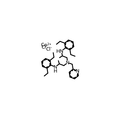 CCc1cccc(CC)c1NC(C)CN(Cc1ccccn1)CC(C)Nc1c(CC)cccc1CC.[Cl-].[Cl-].[Co+2]